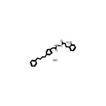 Cl.Nc1ccccc1CCC(=O)ONC(=O)Cc1ccc(CCCCc2ccccc2)cc1